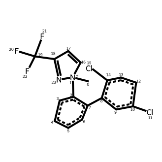 C[N+]1(c2ccccc2-c2cc(Cl)ccc2Cl)C=CC(C(F)(F)F)=N1